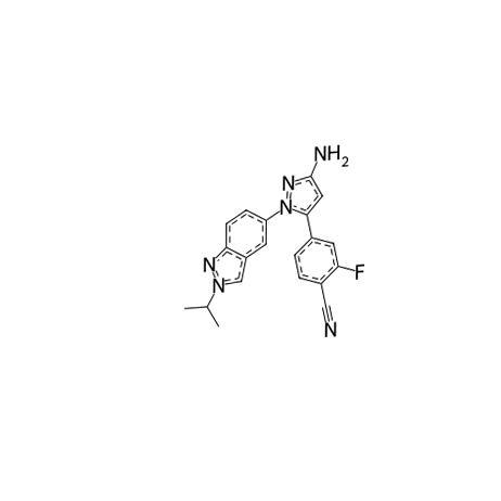 CC(C)n1cc2cc(-n3nc(N)cc3-c3ccc(C#N)c(F)c3)ccc2n1